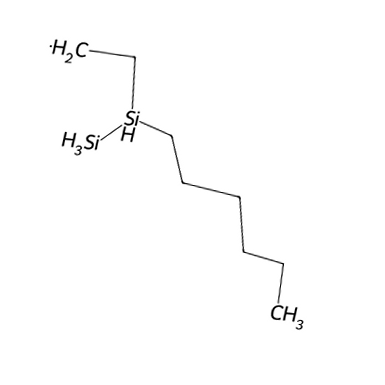 [CH2]C[SiH]([SiH3])CCCCCC